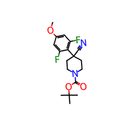 COc1cc(F)c(C2(C#N)CCN(C(=O)OC(C)(C)C)CC2)c(F)c1